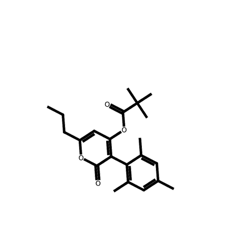 CCCc1cc(OC(=O)C(C)(C)C)c(-c2c(C)cc(C)cc2C)c(=O)o1